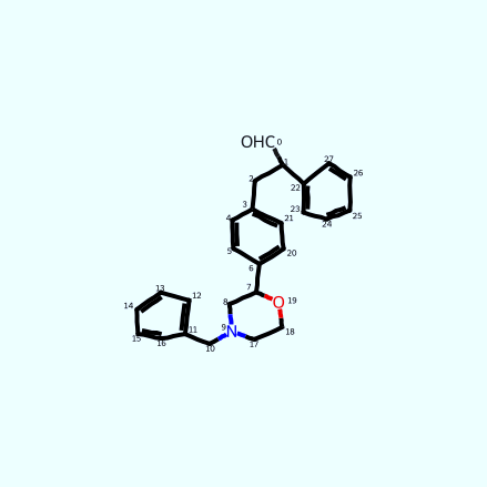 O=CC(Cc1ccc(C2CN(Cc3ccccc3)CCO2)cc1)c1ccccc1